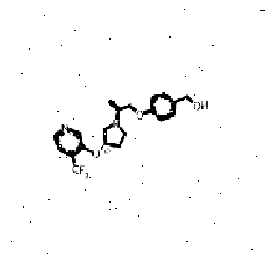 C=C(COc1ccc(CO)cc1)N1CC[C@H](Oc2cnccc2C(F)(F)F)C1